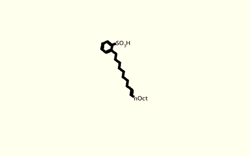 CCCCCCCCC=CCCCCCCCCc1ccccc1S(=O)(=O)O